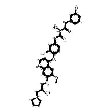 COc1cc2c(Oc3ccc(NC(=O)N(S)C(=O)Cc4cccc(Cl)c4)cc3F)ccnc2cc1OCC(O)CN1CCCC1